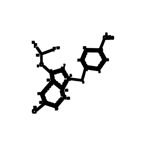 COc1ccc(Cn2nc(OC(F)F)c3cc(Cl)cnc32)cc1